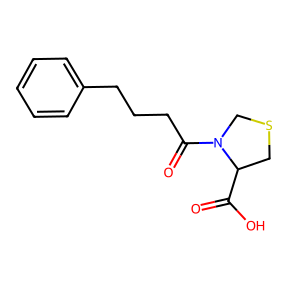 O=C(O)C1CSCN1C(=O)CCCc1ccccc1